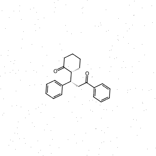 O=C(C[C@H](c1ccccc1)[C@H]1CCCCC1=O)c1ccccc1